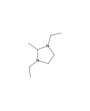 CCN1CCN(CC)C1C